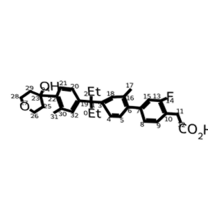 CCC(CC)(c1ccc(-c2ccc(CC(=O)O)c(F)c2)c(C)c1)c1ccc(C2(O)CCOCC2)c(C)c1